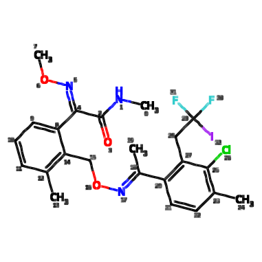 CNC(=O)/C(=N/OC)c1cccc(C)c1CO/N=C(\C)c1ccc(C)c(Cl)c1CC(F)(F)I